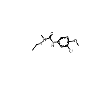 CCSN(C)C(=O)Nc1ccc(OC)c(Cl)c1